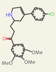 COc1cc(C(=O)CCC2CC(c3ccc(Cl)cc3)=CCN2)cc(OC)c1OC